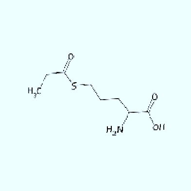 CCC(=O)SCCCC(N)C(=O)O